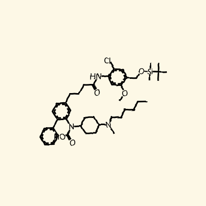 CCCCCCN(C)C1CCC(N(C(=O)O)c2cc(CCCC(=O)Nc3cc(OC)c(CO[Si](C)(C)C(C)(C)C)cc3Cl)ccc2-c2ccccc2)CC1